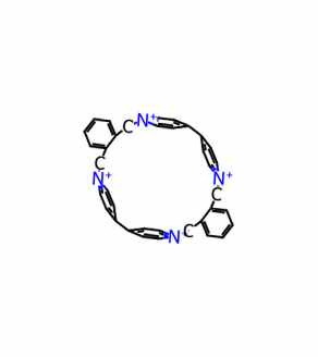 c1ccc2c(c1)C[n+]1ccc(cc1)-c1cc[n+](cc1)Cc1ccccc1C[n+]1ccc(cc1)-c1cc[n+](cc1)C2